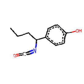 CCCC(N=C=O)c1ccc(O)cc1